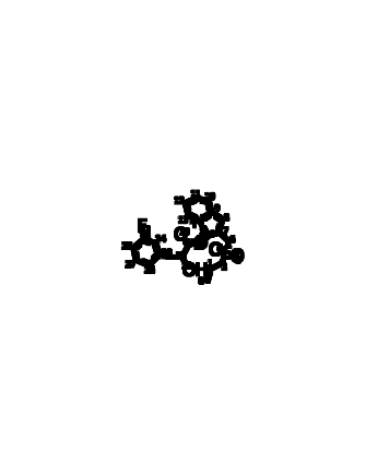 C=CCS(=O)(=O)Cc1cc2ccccn2c1OC(=O)C(C)O.Fc1ccccc1